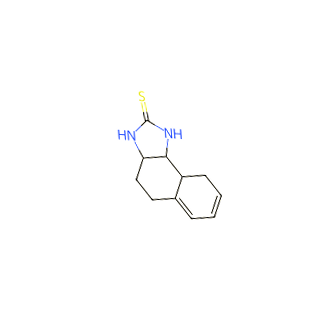 S=C1NC2CCC3=CC=CCC3C2N1